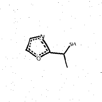 CC(S)c1ncco1